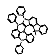 CC1(C)c2ccccc2-c2ccc3c(c4c(n3-c3ccccc3)N(c3ccccc3)c3cccc5c3B4c3ccccc3N5c3ccccc3)c21